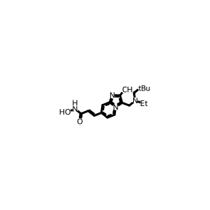 CCN(Cc1c(C)nc2cc(C=CC(=O)NO)ccn12)CC(C)(C)C